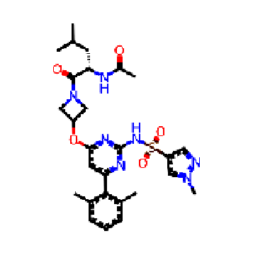 CC(=O)N[C@@H](CC(C)C)C(=O)N1CC(Oc2cc(-c3c(C)cccc3C)nc(NS(=O)(=O)c3cnn(C)c3)n2)C1